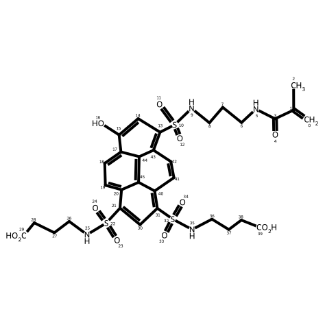 C=C(C)C(=O)NCCCNS(=O)(=O)c1cc(O)c2ccc3c(S(=O)(=O)NCCCC(=O)O)cc(S(=O)(=O)NCCCC(=O)O)c4ccc1c2c34